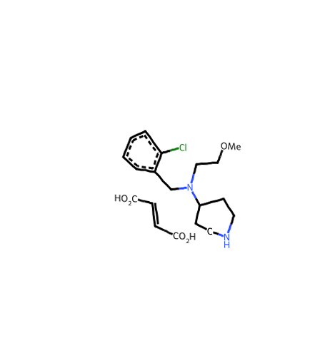 COCCN(Cc1ccccc1Cl)C1CCNCC1.O=C(O)/C=C/C(=O)O